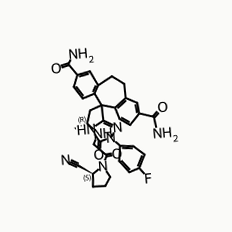 C[C@H](CC1(c2nn(-c3ccc(F)cc3)c(=O)[nH]2)c2ccc(C(N)=O)cc2CCc2cc(C(N)=O)ccc21)NCC(=O)N1CCC[C@H]1C#N